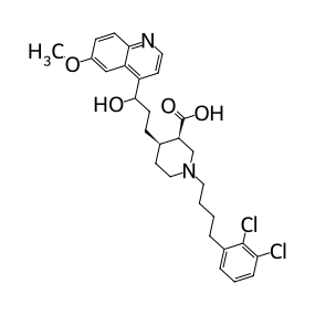 COc1ccc2nccc(C(O)CC[C@@H]3CCN(CCCCc4cccc(Cl)c4Cl)C[C@@H]3C(=O)O)c2c1